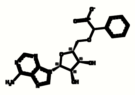 Nc1ncnc2c1ncn2[C@@H]1O[C@H](COC(c2ccccc2)[N+](=O)[O-])[C@@H](O)[C@H]1O